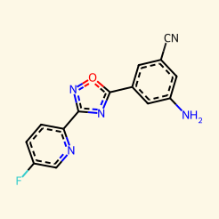 N#Cc1cc(N)cc(-c2nc(-c3ccc(F)cn3)no2)c1